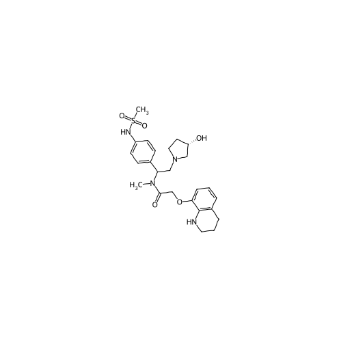 CN(C(=O)COc1cccc2c1NCCC2)C(CN1CC[C@H](O)C1)c1ccc(NS(C)(=O)=O)cc1